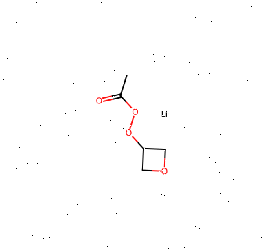 CC(=O)OOC1COC1.[Li]